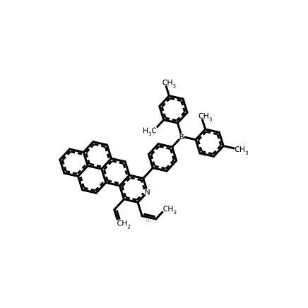 C=Cc1c(/C=C\C)nc(-c2ccc(B(c3ccc(C)cc3C)c3ccc(C)cc3C)cc2)c2cc3ccc4cccc5ccc(c12)c3c45